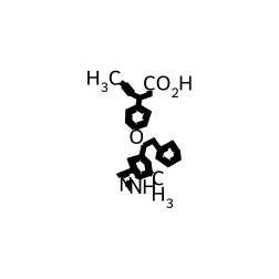 CC#CC(CC(=O)O)c1ccc(OC(Cc2ccccc2)c2cc(C)c3[nH]ncc3c2)cc1